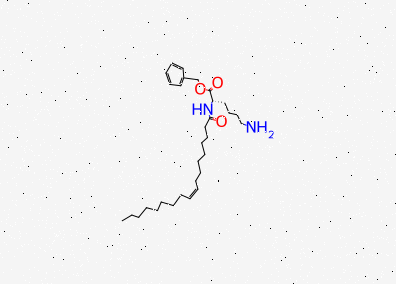 CCCCCCCC/C=C\CCCCCCCC(=O)N[C@@H](CCCCN)C(=O)OCc1ccccc1